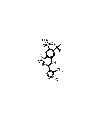 Cc1c(C2Nc3cc(C(F)(F)F)c(S(N)(=O)=O)cc3S(=O)(=O)N2)no[n+]1[O-]